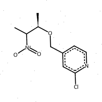 CC([C@@H](C)OCc1ccnc(Cl)c1)[N+](=O)[O-]